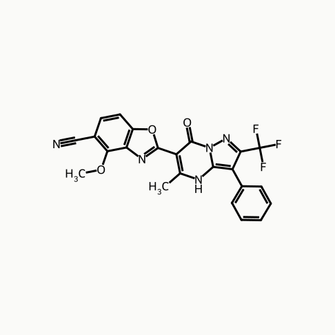 COc1c(C#N)ccc2oc(-c3c(C)[nH]c4c(-c5ccccc5)c(C(F)(F)F)nn4c3=O)nc12